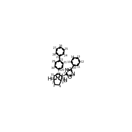 CN1[C@H]2CC[C@@H]1[C@H](c1nc(-c3ccccc3)no1)[C@@H](c1ccc(-c3ccccc3)cc1)C2